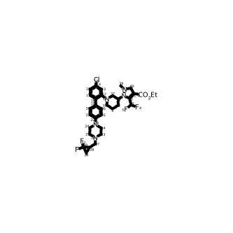 CCOC(=O)C1=C(C(F)F)N(C2CCCN(c3cc(Cl)ccc3-c3ccc(N4CCN(CC5CC5(F)F)CC4)cc3)C2)N(C)C1